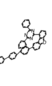 c1ccc(-c2ccc(-c3ccc(-c4ccc5oc6cccc(-c7nc(-c8ccccc8)nc(-c8ccccc8)n7)c6c5c4)cc3)cc2)cc1